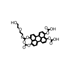 O=C(O)Oc1ccc2c3ccc4c5c(ccc(c6ccc(OC(=O)O)c1c26)c53)OC(=NCCOCCO)OC(=O)O4